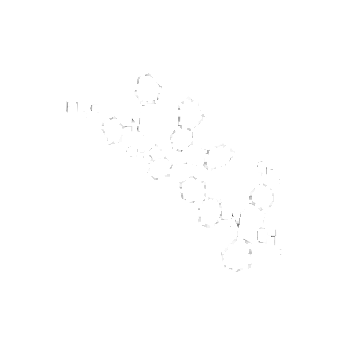 Cc1ccc(C)c(N(c2ccccc2)c2ccc3cc4c(cc3c2)C2(c3ccccc3-c3c2ccc2ccccc32)c2c-4ccc3cc(N(c4ccccc4)c4cc(C)ccc4C)ccc23)c1